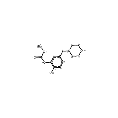 CC(C)(C)OC(=O)Oc1cc(CN2CCOCC2)ccc1Br